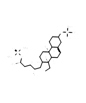 COP(=O)(OC)O[C@@H](CC[C@@H](C)[C@H]1CC[C@H]2[C@@H]3CC=C4CC(O[Si](C)(C)C(C)(C)C)CC[C@]4(C)[C@H]3CC[C@]12C)C(C)C